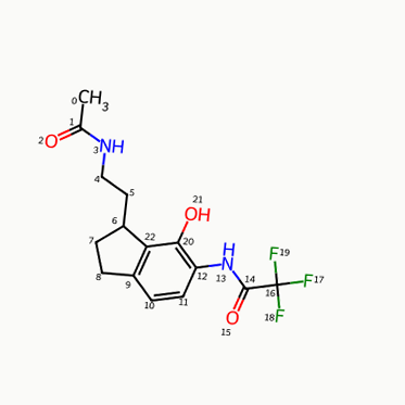 CC(=O)NCCC1CCc2ccc(NC(=O)C(F)(F)F)c(O)c21